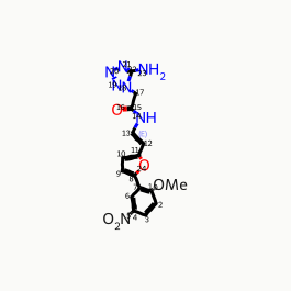 COc1ccc([N+](=O)[O-])cc1-c1ccc(/C=C/NC(=O)Cn2nnnc2N)o1